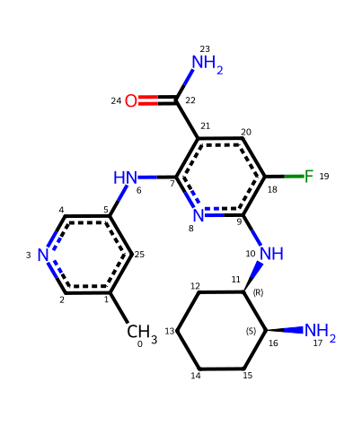 Cc1cncc(Nc2nc(N[C@@H]3CCCC[C@@H]3N)c(F)cc2C(N)=O)c1